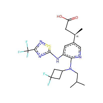 CC(C)CN(c1ncc([C@H](C)CC(=O)O)cc1Nc1nc(C(F)(F)F)ns1)C1CC(F)(F)C1